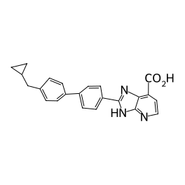 O=C(O)c1ccnc2[nH]c(-c3ccc(-c4ccc(CC5CC5)cc4)cc3)nc12